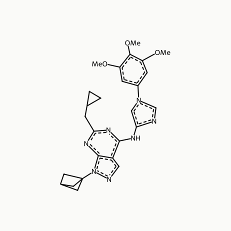 COc1cc(-n2cnc(Nc3nc(CC4CC4)nc4c3cnn4C34CC(C3)C4)c2)cc(OC)c1OC